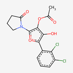 CC(=O)Oc1c(N2CCCC2=O)oc(-c2cccc(Cl)c2Cl)c1O